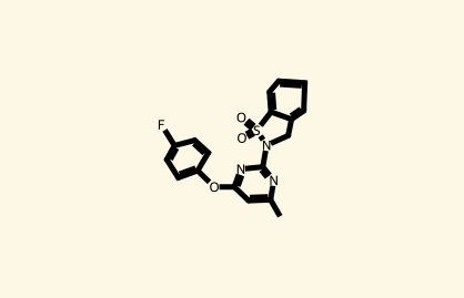 Cc1cc(Oc2ccc(F)cc2)nc(N2Cc3ccccc3S2(=O)=O)n1